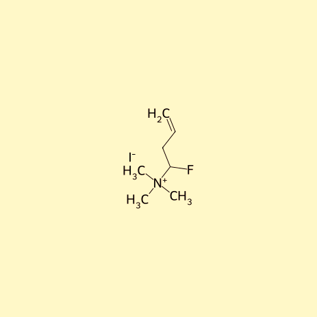 C=CCC(F)[N+](C)(C)C.[I-]